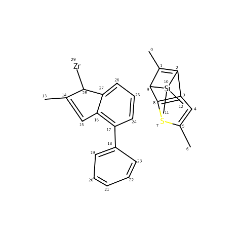 CC1=C2c3cc(C)sc3C1[Si]2(C)C.CC1=Cc2c(-c3ccccc3)cccc2[CH]1[Zr]